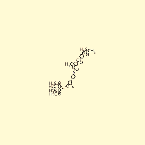 C=C(C)C(=O)OCC(CCOc1ccc(-c2ccc(/C=C/C(=O)Oc3ccc(OC(=O)c4ccc(OC(=O)C(=C)C)cc4)cc3C)cc2)cc1C1CC1)COC(=O)C(=C)C